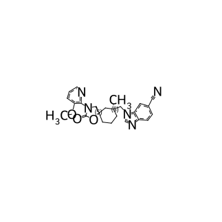 COc1cccnc1N1C[C@@]2(CCC[C@](C)(Cn3cnc4ccc(C#N)cc43)C2)OC1=O